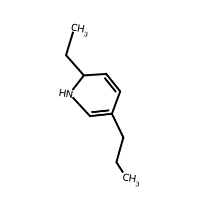 CCCC1=CNC(CC)C=C1